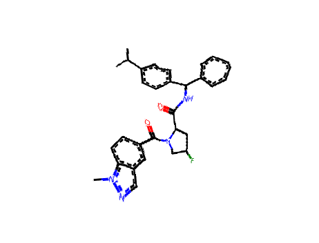 CC(C)c1ccc(C(NC(=O)C2CC(F)CN2C(=O)c2ccc3c(cnn3C)c2)c2ccccc2)cc1